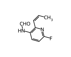 C/C=C\c1nc(F)ccc1NC=O